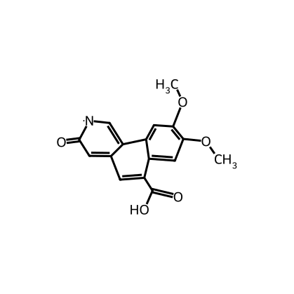 COc1cc2c(C(=O)O)cc3c(c2cc1OC)=C[N]C(=O)C=3